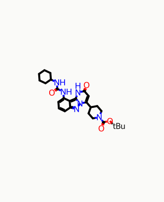 CC(C)(C)OC(=O)N1CCC(c2cc(=O)[nH]c3c4c(NC(=O)NC5CCCCC5)cccc4nn23)CC1